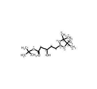 CC(C)(C)OC(=O)CC(O)CCB1OC(C)(C)C(C)(C)O1